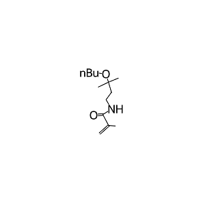 C=C(C)C(=O)NCCC(C)(C)OCCCC